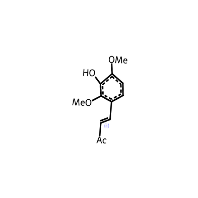 COc1ccc(/C=C/C(C)=O)c(OC)c1O